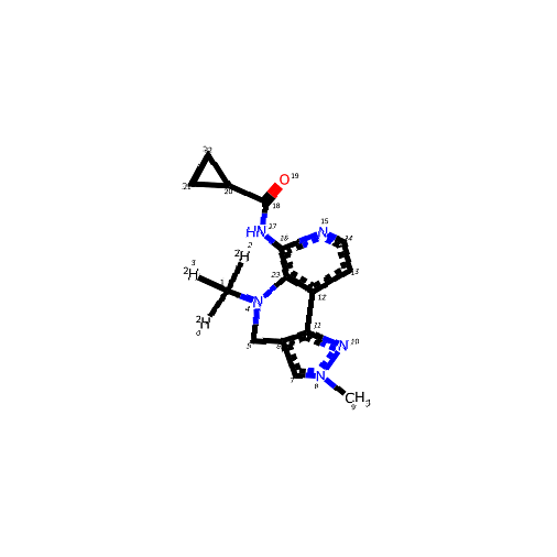 [2H]C([2H])([2H])N1Cc2cn(C)nc2-c2ccnc(NC(=O)C3CC3)c21